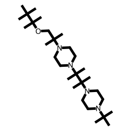 CC(C)(C)N1CCN(C(C)(C)C(C)(C)N2CCN(C(C)(C)COC(C)(C)C(C)(C)C)CC2)CC1